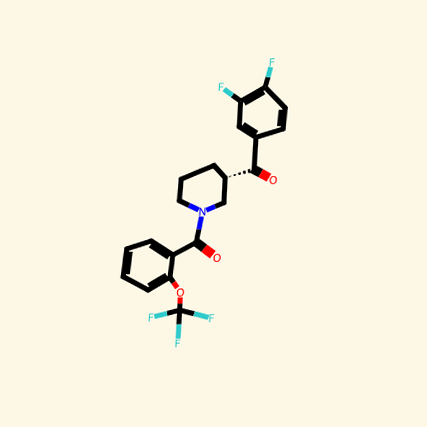 O=C(c1ccc(F)c(F)c1)[C@H]1CCCN(C(=O)c2ccccc2OC(F)(F)F)C1